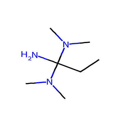 CCC(N)(N(C)C)N(C)C